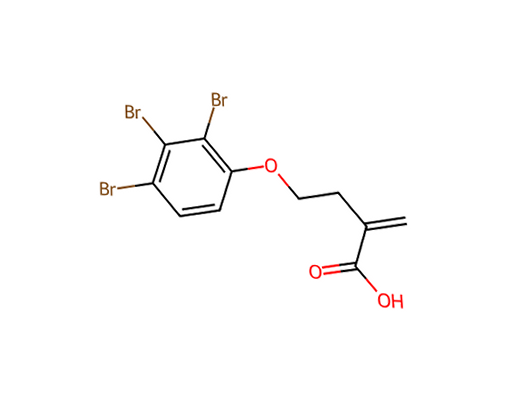 C=C(CCOc1ccc(Br)c(Br)c1Br)C(=O)O